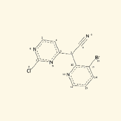 N#CC(c1ccnc(Cl)n1)c1ncccc1Br